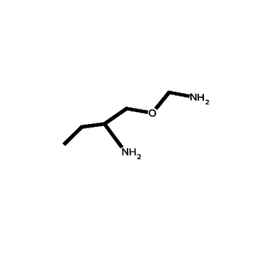 CCC(N)COCN